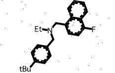 CCN(Cc1ccc(C(C)(C)C)cc1)Cc1ccc(F)c2ccccc12